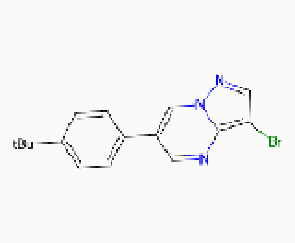 CC(C)(C)c1ccc(-c2cnc3c(Br)cnn3c2)cc1